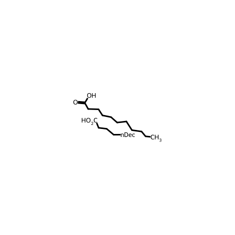 CCCCCCCCCCC(=O)O.CCCCCCCCCCCCCC(=O)O